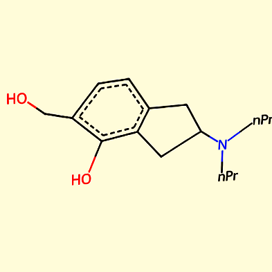 CCCN(CCC)C1Cc2ccc(CO)c(O)c2C1